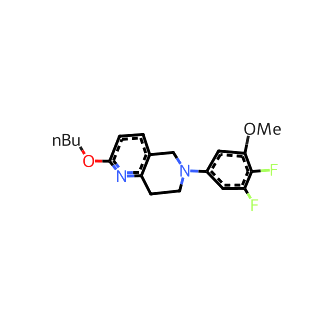 CCCCOc1ccc2c(n1)CCN(c1cc(F)c(F)c(OC)c1)C2